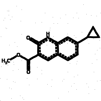 COC(=O)c1cc2ccc(C3CC3)cc2[nH]c1=O